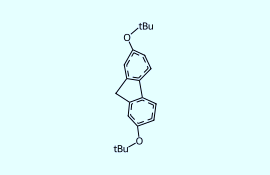 CC(C)(C)Oc1ccc2c(c1)Cc1cc(OC(C)(C)C)ccc1-2